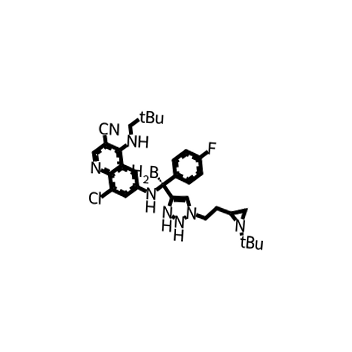 B[C@@](Nc1cc(Cl)c2ncc(C#N)c(NCC(C)(C)C)c2c1)(C1=CN(CCC2CN2C(C)(C)C)NN1)c1ccc(F)cc1